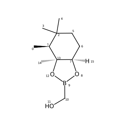 C[C@H]1C(C)(C)CC[C@H]2OB(CO)O[C@]21C